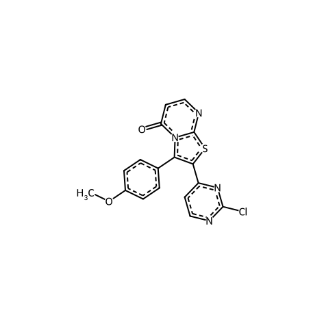 COc1ccc(-c2c(-c3ccnc(Cl)n3)sc3nccc(=O)n23)cc1